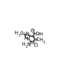 Cc1cn2c(N)c(Cl)c(C)c(C(=O)O)c2n1